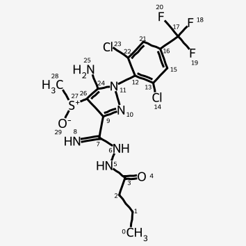 CCCC(=O)NNC(=N)c1nn(-c2c(Cl)cc(C(F)(F)F)cc2Cl)c(N)c1[S+](C)[O-]